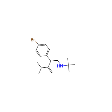 C=C(C(C)C)[C@H](CNC(C)(C)C)c1ccc(Br)cc1